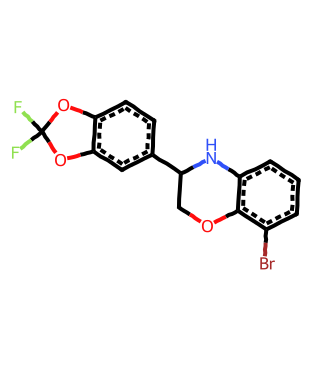 FC1(F)Oc2ccc(C3COc4c(Br)cccc4N3)cc2O1